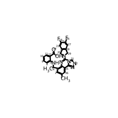 Cc1cc(C(C)Nc2ccccc2C(=O)O)c2nc(N3Cc4cc(F)c(F)cc4C3)n3cnnc3c2c1